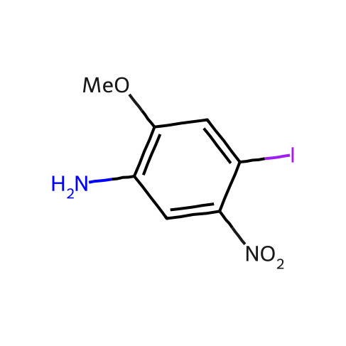 COc1cc(I)c([N+](=O)[O-])cc1N